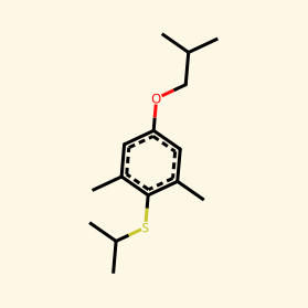 Cc1cc(OCC(C)C)cc(C)c1SC(C)C